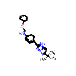 CC(C)(C)c1cc2[nH]c(-c3ccc(NCOc4ccccc4)cc3)nn2n1